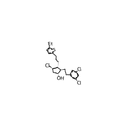 CCc1ccc(CCC[C@@H]2[C@@H](CCc3cc(Cl)cc(Cl)c3)[C@H](O)C[C@H]2Cl)s1